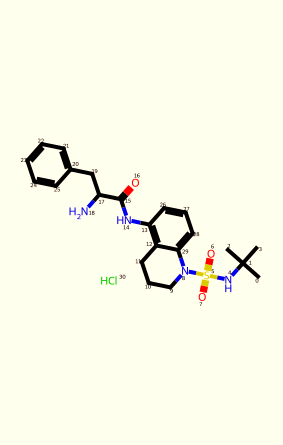 CC(C)(C)NS(=O)(=O)N1CCCc2c(NC(=O)C(N)Cc3ccccc3)cccc21.Cl